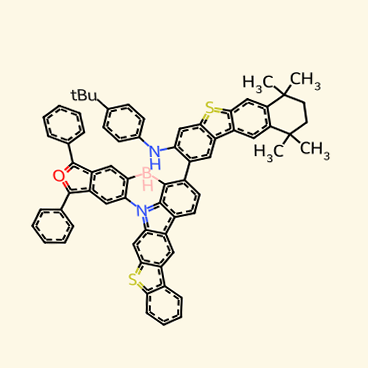 CC(C)(C)c1ccc(Nc2cc3sc4cc5c(cc4c3cc2-c2ccc3c4cc6c(cc4n4c3c2Bc2cc3c(-c7ccccc7)oc(-c7ccccc7)c3cc2-4)sc2ccccc26)C(C)(C)CCC5(C)C)cc1